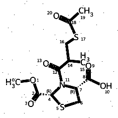 COC(=O)[C@H]1SC[C@@H](C(=O)O)N1C(=O)C(C)CSC(C)=O